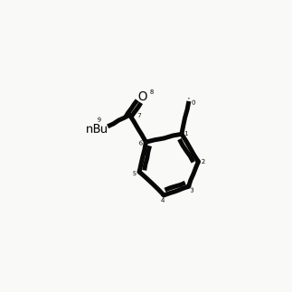 [CH2]c1ccccc1C(=O)CCCC